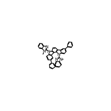 Cn1c(-n2c3ccc(-c4ccccc4)cc3c3c2ccc2c4cc(-c5ccccc5)ccc4n(-c4nc5ccccc5n4C)c23)nc2ccccc21